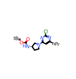 CCCc1cc(N2CC[C@H](NC(=O)OC(C)(C)C)C2)nc(Cl)n1